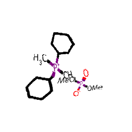 COP(=O)([O-])OC.C[P+](C)(C1CCCCC1)C1CCCCC1